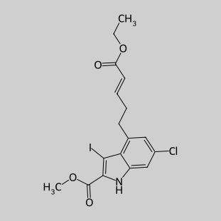 CCOC(=O)C=CCCc1cc(Cl)cc2[nH]c(C(=O)OC)c(I)c12